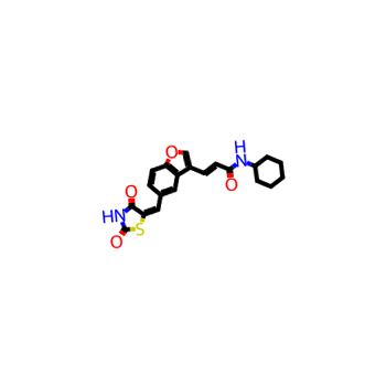 O=C(C=Cc1coc2ccc(C=C3SC(=O)NC3=O)cc12)NC1CCCCC1